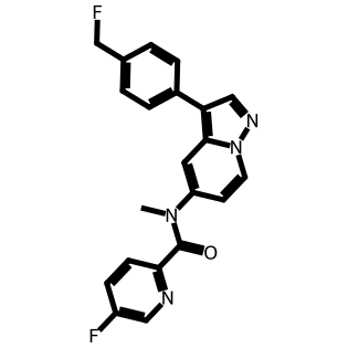 CN(C(=O)c1ccc(F)cn1)c1ccn2ncc(-c3ccc(CF)cc3)c2c1